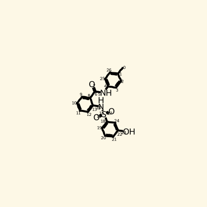 Cc1ccc(NC(=O)c2ccccc2NS(=O)(=O)c2cccc(O)c2)cc1